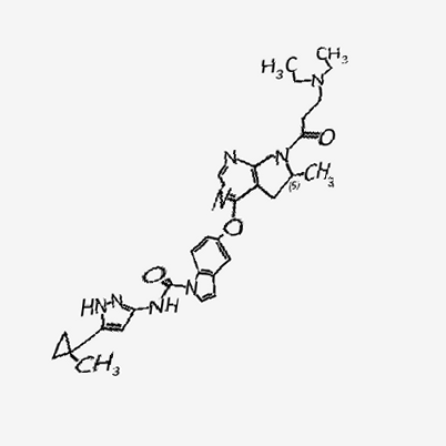 CCN(CC)CCC(=O)N1Cc2ncnc(Oc3ccc4c(ccn4C(=O)Nc4cc(C5(C)CC5)[nH]n4)c3)c2C[C@@H]1C